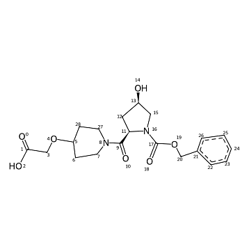 O=C(O)COC1CCN(C(=O)[C@H]2C[C@@H](O)CN2C(=O)OCc2ccccc2)CC1